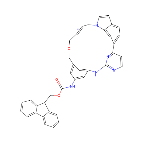 O=C(Nc1cc2cc(c1)Nc1nccc(n1)-c1ccc3ccn(c3c1)C/C=C/COC2)OCC1c2ccccc2-c2ccccc21